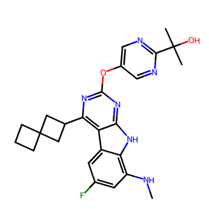 CNc1cc(F)cc2c1[nH]c1nc(Oc3cnc(C(C)(C)O)nc3)nc(C3CC4(CCC4)C3)c12